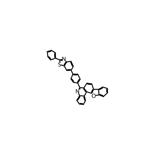 c1ccc(-c2nc3ccc(-c4ccc(-c5nc6ccccc6c6c5ccc5c7ccccc7oc56)cc4)cc3s2)cc1